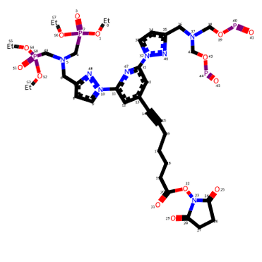 CCOP(=O)(CN(Cc1ccn(-c2cc(C#CCCCCC(=O)ON3C(=O)CCC3=O)cc(-n3ccc(CN(COP=O)COP=O)n3)n2)n1)CP(=O)(OCC)OCC)OCC